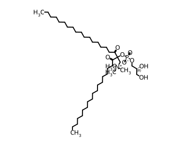 CCCCCCCCCCCCCCCCCC(=O)C(C[N+](C)(C)C)(OP(=O)([O-])OC[C@H](O)CO)C(=O)CCCCCCCCCCCCCCCCC